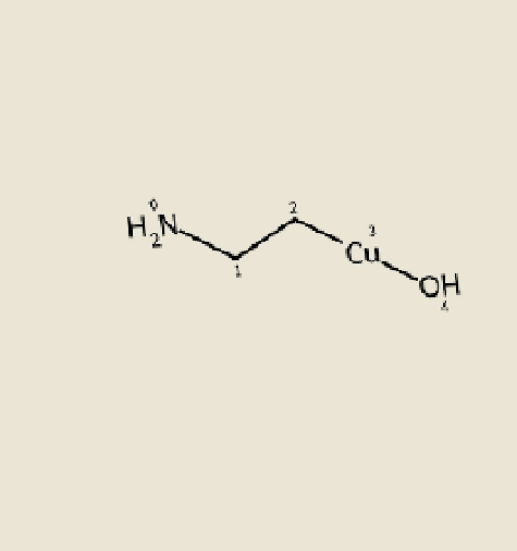 NC[CH2][Cu][OH]